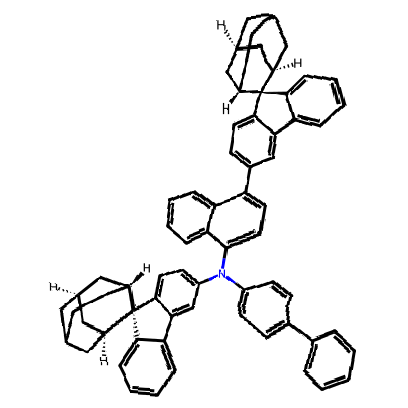 c1ccc(-c2ccc(N(c3ccc4c(c3)-c3ccccc3[C@]43[C@@H]4CC5C[C@@H](C4)C[C@@H]3C5)c3ccc(-c4ccc5c(c4)-c4ccccc4[C@]54[C@H]5CC6C[C@H](C5)C[C@H]4C6)c4ccccc34)cc2)cc1